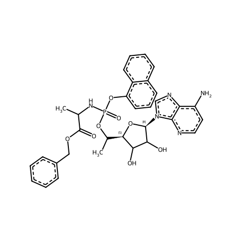 CC(NP(=O)(Oc1cccc2ccccc12)OC(C)[C@H]1O[C@@H](n2cnc3c(N)ccnc32)C(O)C1O)C(=O)OCc1ccccc1